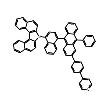 c1ccc(-c2c3ccccc3c(-c3ccc(-n4c5ccc6ccccc6c5c5c6ccccc6ccc54)c4ccccc34)c3ccc(-c4ccc(-c5ccncc5)cc4)cc23)cc1